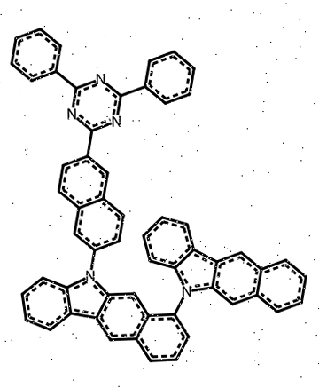 c1ccc(-c2nc(-c3ccccc3)nc(-c3ccc4cc(-n5c6ccccc6c6cc7cccc(-n8c9ccccc9c9cc%10ccccc%10cc98)c7cc65)ccc4c3)n2)cc1